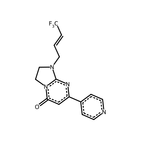 O=c1cc(-c2ccncc2)nc2n1CCN2C/C=C/C(F)(F)F